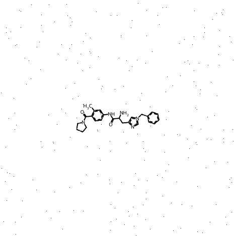 Cc1cc(NC(=O)C(N)Cc2cn(Cc3ccccc3)cn2)ccc1C(=O)N1CCCC1